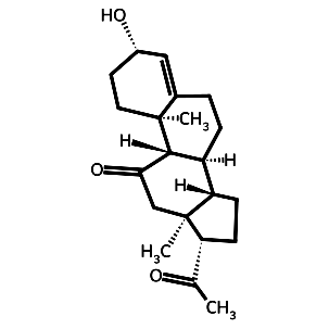 CC(=O)[C@H]1CC[C@H]2[C@@H]3CCC4=C[C@@H](O)CC[C@]4(C)[C@H]3C(=O)C[C@]12C